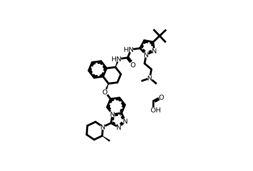 C[C@H]1CCCCN1c1nnc2ccc(O[C@@H]3CC[C@H](NC(=O)Nc4cc(C(C)(C)C)nn4CCN(C)C)c4ccccc43)cn12.O=CO